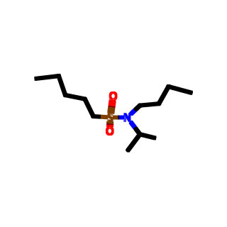 CCCCCS(=O)(=O)N(CCCC)C(C)C